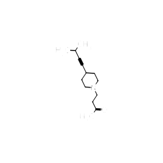 CC(=O)CCN1CCC(C#CC(C)C)CC1